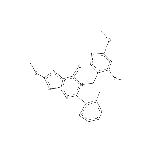 COc1ccc(Cn2c(-c3ccccc3C)nc3sc(SC)nc3c2=O)c(OC)c1